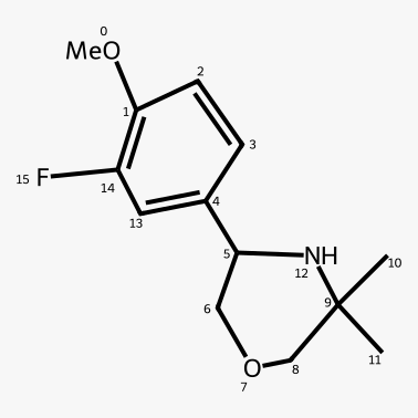 COc1ccc(C2COCC(C)(C)N2)cc1F